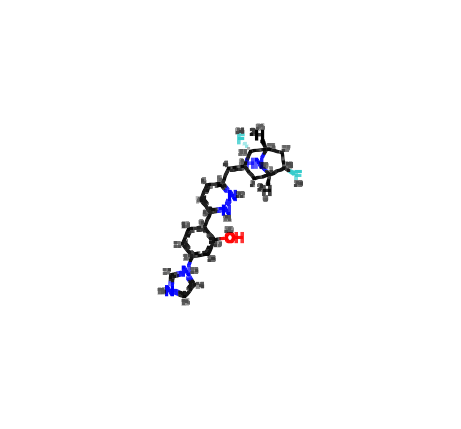 [2H][C@]12C/C(=C\c3ccc(-c4ccc(-n5ccnc5)cc4O)nn3)[C@H](F)[C@]([2H])(C[C@H]1F)N2